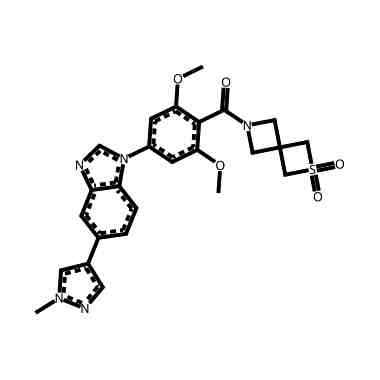 COc1cc(-n2cnc3cc(-c4cnn(C)c4)ccc32)cc(OC)c1C(=O)N1CC2(C1)CS(=O)(=O)C2